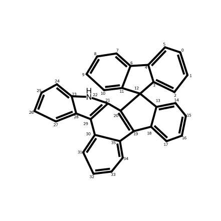 c1ccc2c(c1)-c1ccccc1C21c2ccccc2-c2c1c1[nH]c3ccccc3c1c1ccccc21